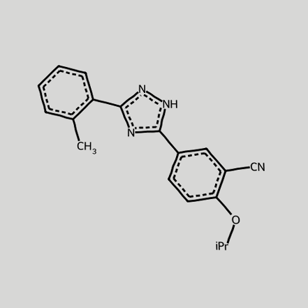 Cc1ccccc1-c1n[nH]c(-c2ccc(OC(C)C)c(C#N)c2)n1